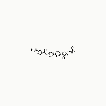 CC(=O)NC[C@H]1CN(c2ccc(N3CCN(CC(=O)N4CC[C@@H](N)C4)CC3)c(F)c2)C(=O)O1